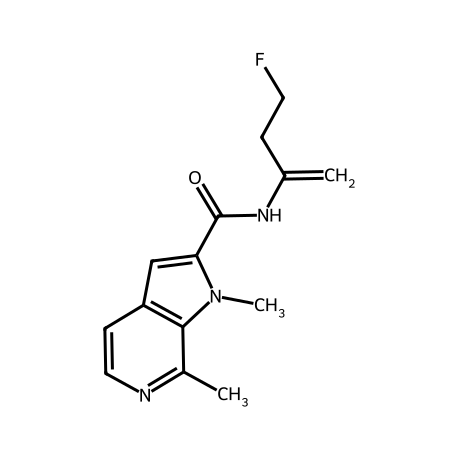 C=C(CCF)NC(=O)c1cc2ccnc(C)c2n1C